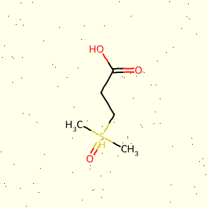 C[SH](C)(=O)CCC(=O)O